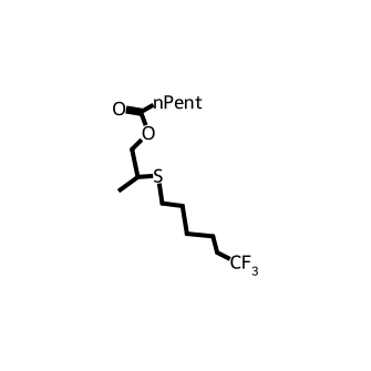 CCCCCC(=O)OCC(C)SCCCCCC(F)(F)F